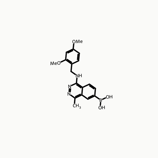 COc1ccc(CNc2nnc(C)c3cc(B(O)O)ccc23)c(OC)c1